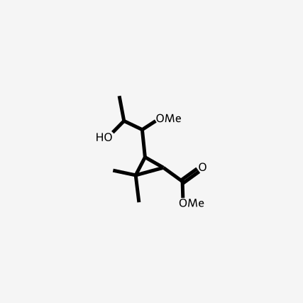 COC(=O)C1C(C(OC)C(C)O)C1(C)C